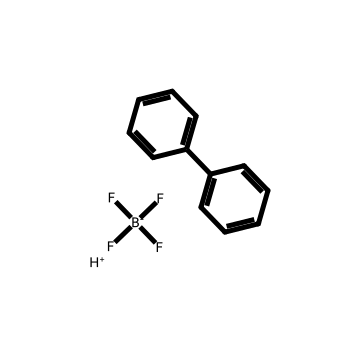 F[B-](F)(F)F.[H+].c1ccc(-c2ccccc2)cc1